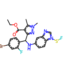 CCOC(=O)c1c(C(Nc2ccc3c(c2)ncn3SF)c2ccc(Br)cc2F)nn(C)c1C